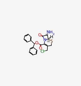 N[C@H]1C(=O)N2C(C(=O)OC(c3ccccc3)c3ccccc3)=C(CCl)CS[C@@H]12